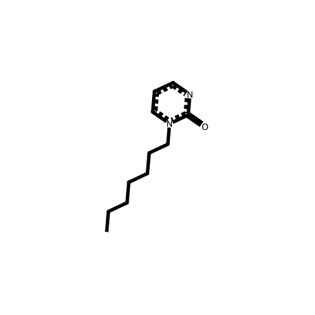 CCCCCCCn1cccnc1=O